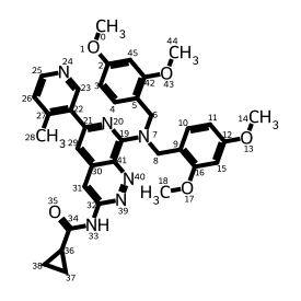 COc1ccc(CN(Cc2ccc(OC)cc2OC)c2nc(-c3cnccc3C)cc3cc(NC(=O)C4CC4)nnc23)c(OC)c1